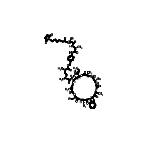 C/C=C(\C)[C@H]1OC(=O)[C@@H](C)NC(=O)[C@H](C(C)CC)NC(=O)CN(C)C(=O)[C@@H](Cc2ccccc2)N(C)C(=O)[C@H](C)NC(=O)[C@@H](CC(C)C)OC(=O)/C(C)=C/C[C@H](OC(=O)N(C)CCN(C)C(=O)OCc2ccc(NC(=O)[C@@H](C)NC(=O)[C@H](NC(=O)CCCCCN3C(=O)C=CC3=O)C(C)C)cc2)[C@@H]1C